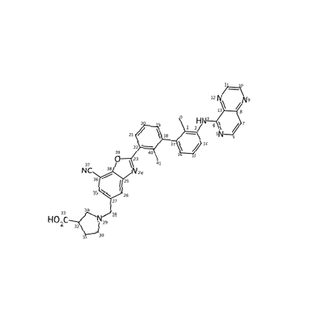 Cc1c(Nc2nccc3nccnc23)cccc1-c1cccc(-c2nc3cc(CN4CCC(C(=O)O)C4)cc(C#N)c3o2)c1C